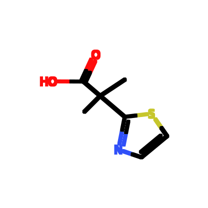 CC(C)(C(=O)O)c1nccs1